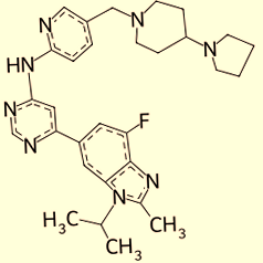 Cc1nc2c(F)cc(-c3cc(Nc4ccc(CN5CCC(N6CCCC6)CC5)cn4)ncn3)cc2n1C(C)C